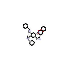 C(=N/c1cc(/N=C\c2ccccc2)c(/N=C/c2ccccc2)cc1/N=C/c1ccccc1)/c1ccccc1